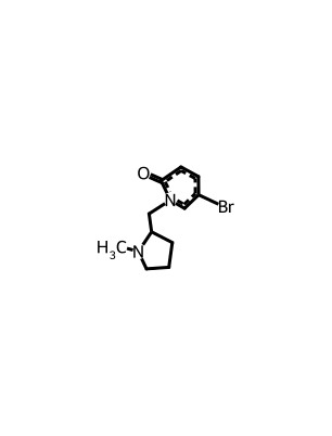 CN1CCCC1Cn1cc(Br)ccc1=O